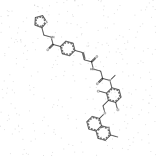 Cc1ccc2cccc(OCc3c(Cl)ccc(N(C)C(=O)CNC(=O)C=Cc4ccc(C(=O)NCc5cccs5)cc4)c3Cl)c2n1